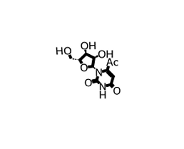 CC(=O)c1cc(=O)[nH]c(=O)n1[C@@H]1O[C@H](CO)[C@@H](O)[C@H]1O